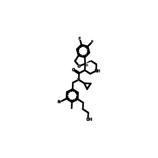 Cc1c(Br)cc(CN(C(=O)C2CNCC[C@@]23OCc2cc(F)c(F)cc23)C2CC2)cc1CCCO